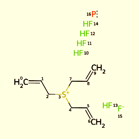 C=CC[S+](CC=C)CC=C.F.F.F.F.F.[F-].[P]